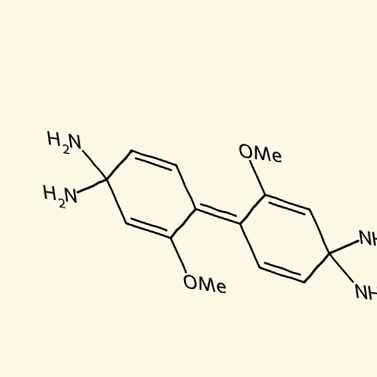 COC1=CC(N)(N)C=CC1=C1C=CC(N)(N)C=C1OC